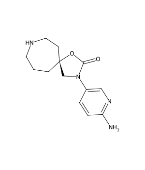 Nc1ccc(N2C[C@]3(CCCNCC3)OC2=O)cn1